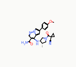 COc1ccc(-c2cc3c(N[C@@H]4CN(C(=O)C5(C#N)CC5)C[C@@H]4C)c(C(N)=O)cnn3c2)cc1